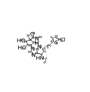 CCNc1cc(C#Cc2ccc(Cl)s2)nc2c1ncn2[C@H]1[C@H](O)[C@H](O)C(C)(C(=O)NC)[C@@H]1C